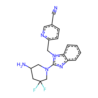 N#Cc1ccc(Cn2c(N3CC(N)CC(F)(F)C3)nc3ccccc32)nc1